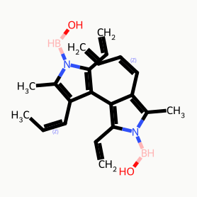 C=C/C=C\c1c(-c2c(/C=C\C)c(C)n(BO)c2C=C)c(C=C)n(BO)c1C